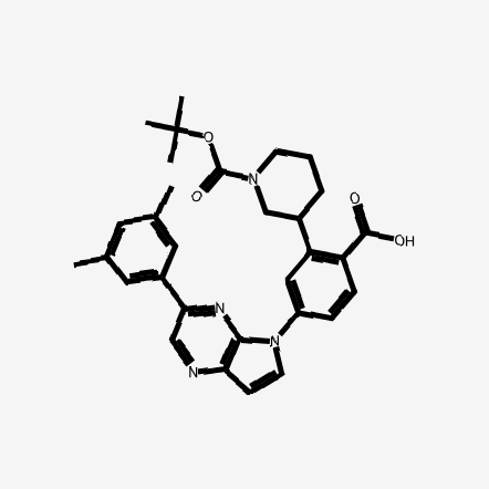 Cc1cc(C)cc(-c2cnc3ccn(-c4ccc(C(=O)O)c(C5CCCN(C(=O)OC(C)(C)C)C5)c4)c3n2)c1